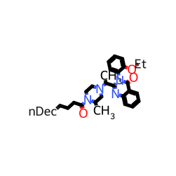 CCCCCCCCCCCCCC(=O)N1CCN(C(C)c2nc3ccccc3c(=O)n2-c2ccccc2OCC)CC1C